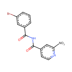 O=C(NC(=O)c1ccnc([N+](=O)[O-])c1)c1cccc(Br)c1